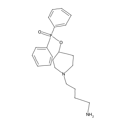 NCCCCN1CCC(OP(=O)(c2ccccc2)c2ccccc2)CC1